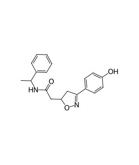 CC(NC(=O)CC1CC(c2ccc(O)cc2)=NO1)c1ccccc1